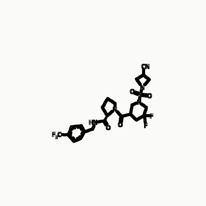 N#CC1CN(S(=O)(=O)N2CC(C(=O)N3CCC[C@@H]3C(=O)NCc3ccc(C(F)(F)F)cc3)CC(F)(F)C2)C1